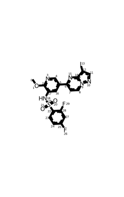 COc1ncc(-c2ccn3ncc(I)c3n2)cc1NS(=O)(=O)c1ccc(F)cc1F